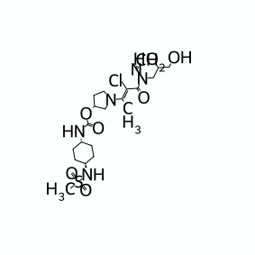 C=NN(CC(O)CO)C(=O)/C(Cl)=C(\C)N1CC[C@@H](OC(=O)N[C@H]2CC[C@H](NS(C)(=O)=O)CC2)C1